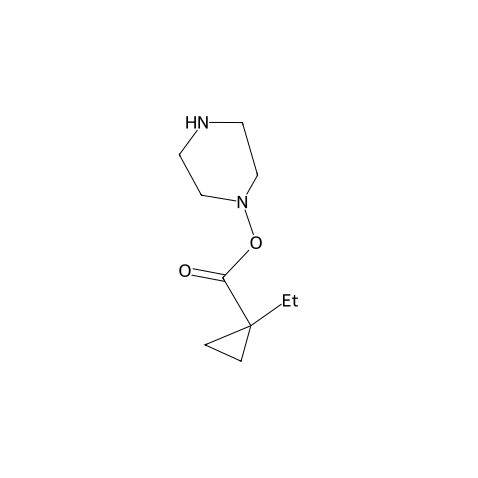 CCC1(C(=O)ON2CCNCC2)CC1